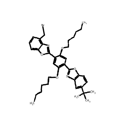 CCCCCCOc1cc(-c2nc3c(CBr)cccc3o2)c(OCCCCCC)cc1-c1nc2cc(C(C)(C)C)ccc2o1